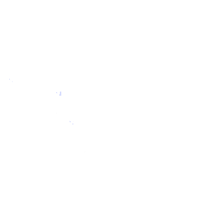 C=CC(C)Oc1cccc(C=C2CCN(C(=O)Nc3cccnc3)CC2)c1